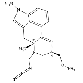 [N-]=[N+]=NCN1C[C@H](CON)C=C2c3cccc4c3c(cn4N)C[C@]21N